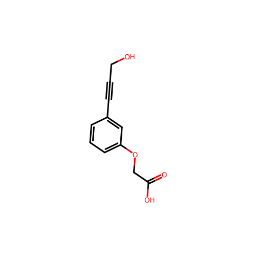 O=C(O)COc1cccc(C#CCO)c1